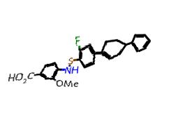 COc1cc(C(=O)O)ccc1NSc1ccc(C2=CCC(c3ccccc3)CC2)cc1F